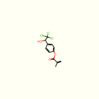 C=C(C)C(=O)Oc1ccc(C(O)C(Cl)(Cl)Cl)cc1